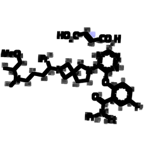 CCN(C(=O)c1cc(F)ccc1Oc1nncnc1N1CCC2(C1)CN(C(CCCN(C)C(C)COC)C(C)C)C2)C(C)C.O=C(O)/C=C/C(=O)O